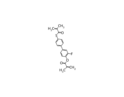 C=C(C)C(=O)Oc1ccc(-c2ccc(SC(=O)C(=C)C)cc2)cc1F